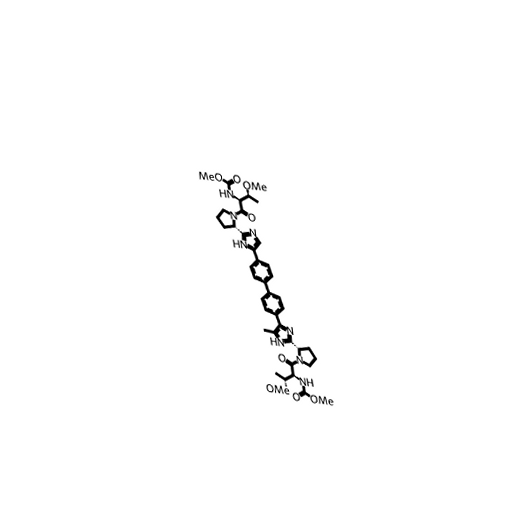 COC(=O)N[C@H](C(=O)N1CCC[C@H]1c1ncc(-c2ccc(-c3ccc(-c4nc([C@@H]5CCCN5C(=O)[C@@H](NC(=O)OC)[C@@H](C)OC)[nH]c4C)cc3)cc2)[nH]1)[C@H](C)OC